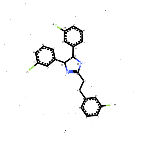 Fc1cccc(CCC2=NC(c3cccc(F)c3)C(c3cccc(F)c3)N2)c1